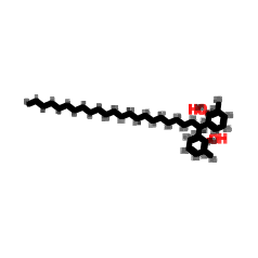 CCCCCCCCCCCCCCCCCCCCCCC(c1cccc(C)c1O)c1cccc(C)c1O